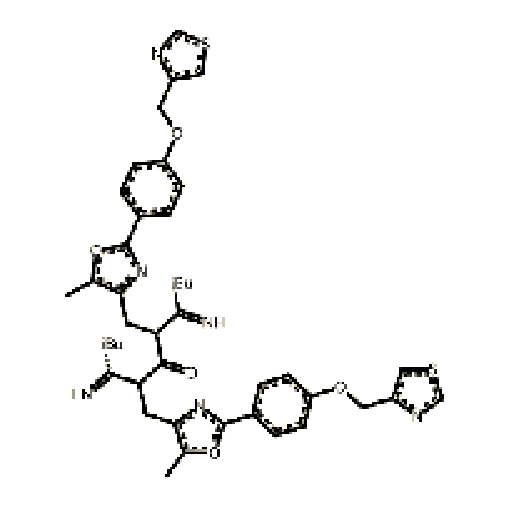 CC[C@@H](C)C(=N)C(Cc1nc(-c2ccc(OCc3cscn3)cc2)oc1C)C(=O)C(Cc1nc(-c2ccc(OCc3cscn3)cc2)oc1C)C(=N)[C@H](C)CC